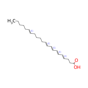 CCCCC/C=C/CCCC/C=C/C=C/C=C/C=C/CCC(=O)O